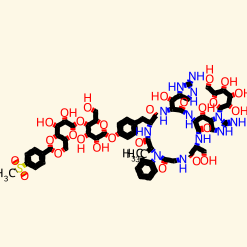 Cc1ccccc1N1C(=O)CNC(=O)C(CO)NC(=O)C(C(O)C2CNC(=N)N2C2OC(CO)C(O)C(O)C2O)NC(=O)C(C(O)C2CNC(=N)N2)NC(=O)C(Cc2ccc(OC3OC(CO)C(OC4OC5COC(c6ccc(S(C)(=O)=O)cc6)OC5C(O)C4O)C(O)C3O)cc2)NC(=O)C1C